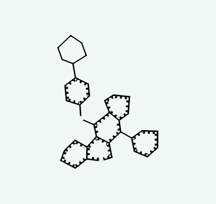 c1ccc(-c2c3ccccc3c(Sc3ccc(C4CCCCC4)cc3)c3c2cnc2ccccc23)cc1